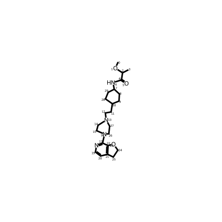 COC(C)C(=O)NC1CCC(CCN2CCN(c3nccc4c3OCC4)CC2)CC1